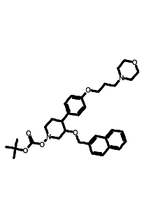 CC(C)(C)OC(=O)ON1CCC(c2ccc(OCCCN3CCOCC3)cc2)C(OCc2ccc3ccccc3c2)C1